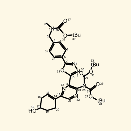 CN(Cc1ccc(-c2nnc(-c3nc(C4=CCC(O)CC4)cnc3N(C(=O)OC(C)(C)C)C(=O)OC(C)(C)C)o2)cc1)C(=O)OC(C)(C)C